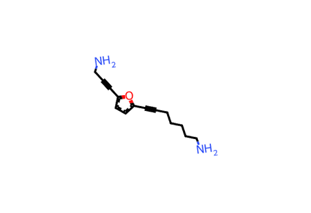 NCC#Cc1ccc(C#CCCCCCN)o1